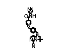 CC(C)(C)CN(Cc1ccc(CN2CCC(C(=O)Nn3cnnc3)CC2)cc1)c1ccnc(C#N)n1